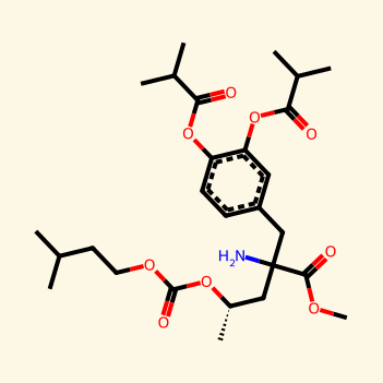 COC(=O)C(N)(Cc1ccc(OC(=O)C(C)C)c(OC(=O)C(C)C)c1)C[C@H](C)OC(=O)OCCC(C)C